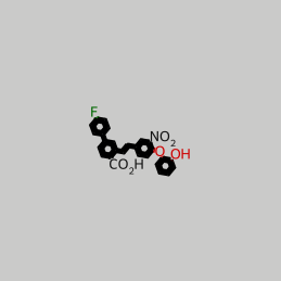 O=C(O)c1ccc(-c2ccc(F)cc2)cc1C=Cc1ccc(Oc2ccccc2O)c([N+](=O)[O-])c1